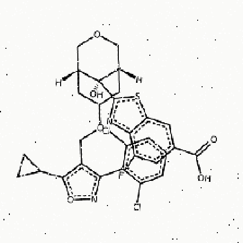 O=C(O)c1cc(F)c2nc([C@]3(O)[C@@H]4COC[C@H]3CC(OCc3c(-c5c(Cl)cccc5Cl)noc3C3CC3)C4)sc2c1